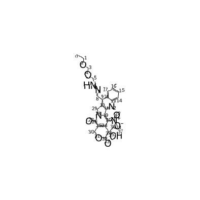 CCOCOCN/N=C/c1c2c(nc3ccccc13)-c1c([N+](=O)[O-])c3c(c(=O)n1C2)COC(=O)[C@]3(O)CC